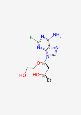 CC[C@@H](O)C[C@@H](OCCO)n1cnc2c(N)nc(F)nc21